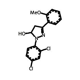 COc1ccccc1C1=NN(c2ccc(Cl)cc2Cl)C(O)C1